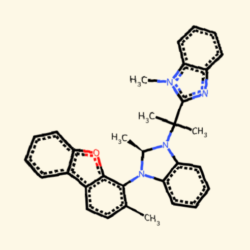 Cc1ccc2c(oc3ccccc32)c1N1c2ccccc2N(C(C)(C)c2nc3ccccc3n2C)[C@@H]1C